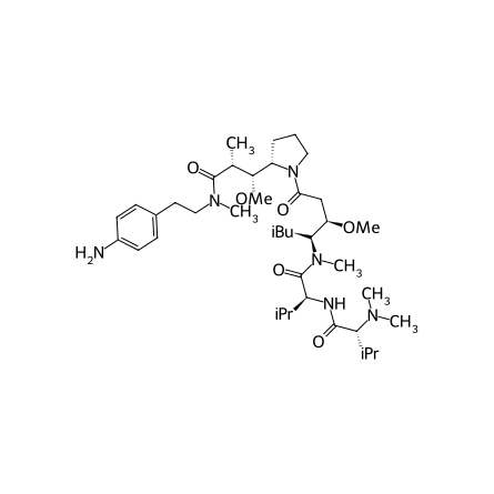 CC[C@H](C)[C@@H]([C@@H](CC(=O)N1CCC[C@H]1[C@H](OC)[C@@H](C)C(=O)N(C)CCc1ccc(N)cc1)OC)N(C)C(=O)[C@@H](NC(=O)[C@@H](C(C)C)N(C)C)C(C)C